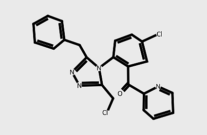 O=C(c1ccccn1)c1cc(Cl)ccc1-n1c(CCl)nnc1Cc1ccccc1